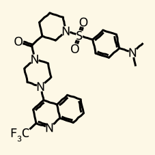 CN(C)c1ccc(S(=O)(=O)N2CCCC(C(=O)N3CCN(c4cc(C(F)(F)F)nc5ccccc45)CC3)C2)cc1